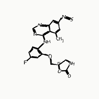 Cc1cc(N=S)cc2ncnc(Nc3ccc(F)cc3OC[C@H]3CNC(=O)O3)c12